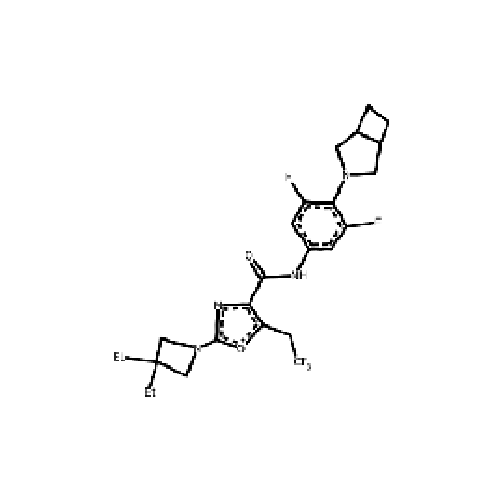 CCC1(CC)CN(c2nc(C(=O)Nc3cc(F)c(N4CC5CCC5C4)c(F)c3)c(CC(F)(F)F)o2)C1